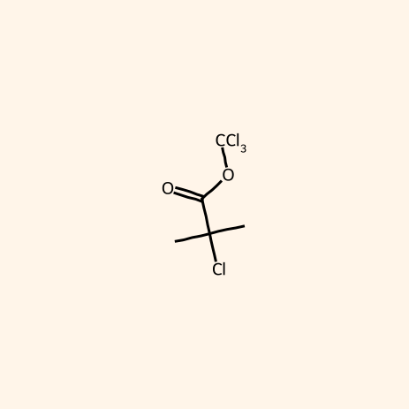 CC(C)(Cl)C(=O)OC(Cl)(Cl)Cl